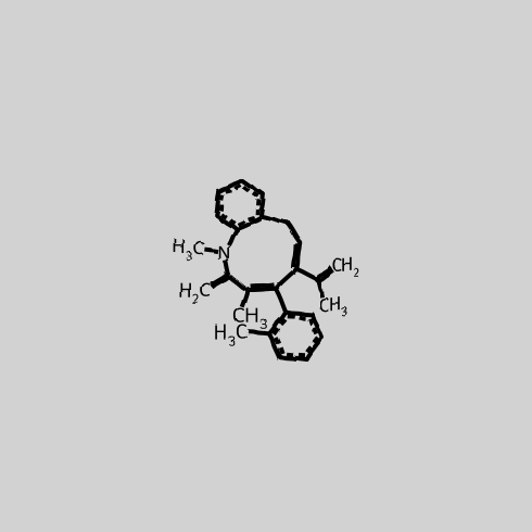 C=C(C)C1=C/Cc2ccccc2N(C)C(=C)/C(C)=C\1c1ccccc1C